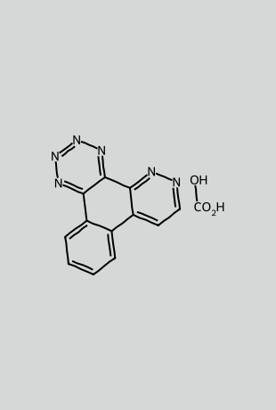 O=C(O)O.c1ccc2c(c1)c1ccnnc1c1nnnnc21